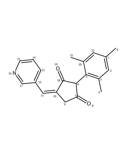 Cc1cc(C)c(C2C(=O)CC(=Cc3cccnc3)C2=O)c(C)c1